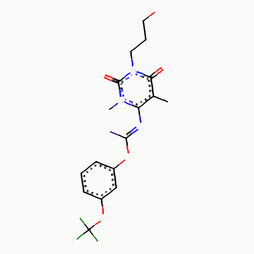 Cc1c(/N=C(\I)Oc2cccc(OC(F)(F)F)c2)n(C)c(=O)n(CCCO)c1=O